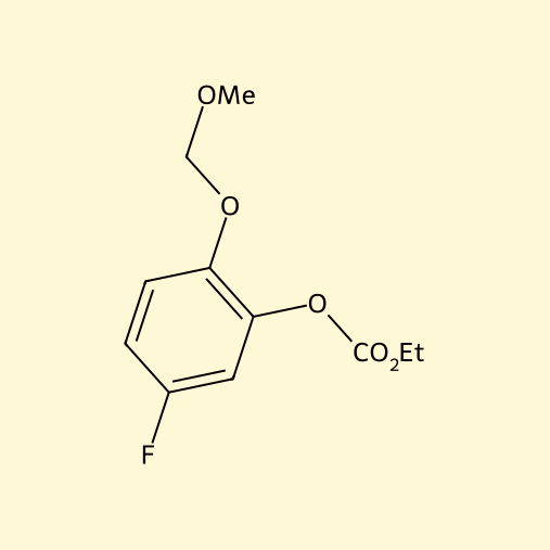 CCOC(=O)Oc1cc(F)ccc1OCOC